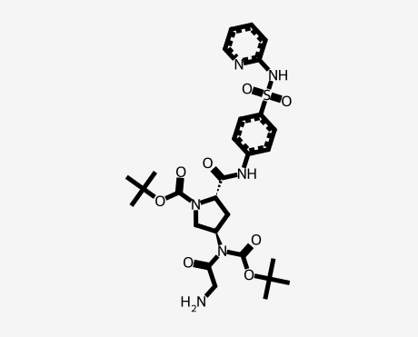 CC(C)(C)OC(=O)N1C[C@H](N(C(=O)CN)C(=O)OC(C)(C)C)C[C@H]1C(=O)Nc1ccc(S(=O)(=O)Nc2ccccn2)cc1